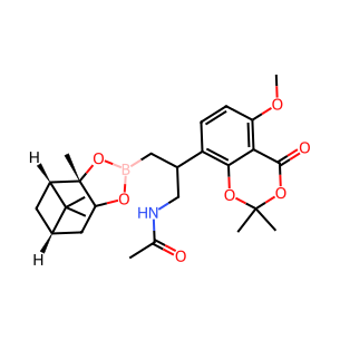 COc1ccc(C(CNC(C)=O)CB2OC3C[C@@H]4C[C@@H](C4(C)C)[C@]3(C)O2)c2c1C(=O)OC(C)(C)O2